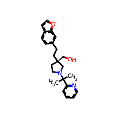 CC(C)(c1ccccn1)N1CC[C@](CO)(CCc2ccc3ccoc3c2)C1